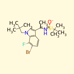 C[C@@H](N[S@@+]([O-])C(C)(C)C)c1cn(CC(C)(C)C)c2c(F)c(Br)ccc12